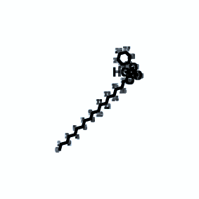 CCCCCCCCCCCCCCCCCCOP(=O)(O)OC1CCCCC1